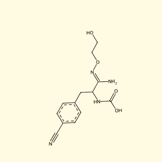 N#Cc1ccc(CC(NC(=O)O)C(N)=NOCCO)cc1